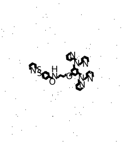 O=C(NCCCCOc1cc(CN(Cc2ccccn2)Cc2ccccn2)cc(CN(Cc2ccccn2)Cc2ccccn2)c1)c1ccc(SSc2ccccn2)cc1